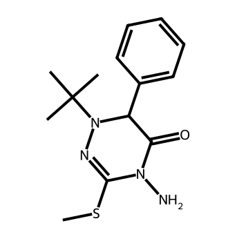 CSC1=NN(C(C)(C)C)C(c2ccccc2)C(=O)N1N